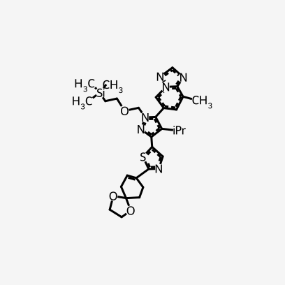 Cc1cc(-c2c(C(C)C)c(-c3cnc(C4=CCC5(CC4)OCCO5)s3)nn2COCC[Si](C)(C)C)cn2ncnc12